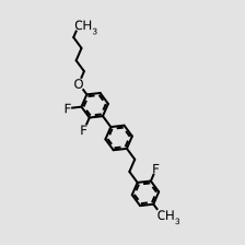 CCCCCOc1ccc(-c2ccc(CCc3ccc(C)cc3F)cc2)c(F)c1F